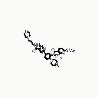 CSc1ccc(C(=O)Nc2cc(-n3cc(C(=O)NCCCN4CCOCC4)nn3)ccc2N2CCN(C)CC2)c(C(F)(F)F)n1